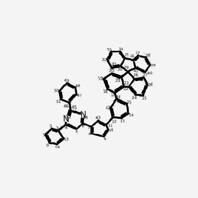 c1ccc(-c2cc(-c3cccc(-c4cccc(-c5cccc6c5-c5ccccc5C65c6ccccc6-c6ccccc65)c4)c3)nc(-c3ccccc3)n2)cc1